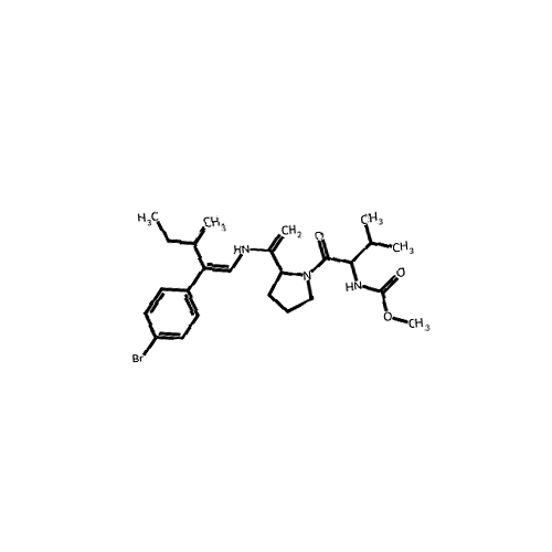 C=C(N/C=C(/c1ccc(Br)cc1)C(C)CC)C1CCCN1C(=O)C(NC(=O)OC)C(C)C